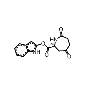 O=C1CCC(=O)N[C@H](C(=O)Oc2cc3ccccc3[nH]2)C1